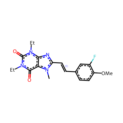 CCn1c(=O)c2c(nc(/C=C/c3ccc(OC)c(F)c3)n2C)n(CC)c1=O